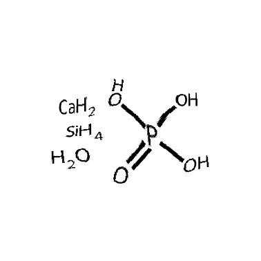 O.O=P(O)(O)O.[CaH2].[SiH4]